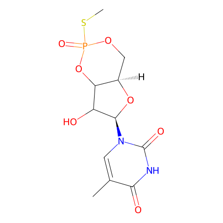 CSP1(=O)OC[C@H]2O[C@@H](n3cc(C)c(=O)[nH]c3=O)C(O)C2O1